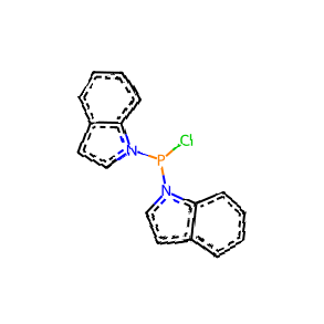 ClP(n1ccc2ccccc21)n1ccc2ccccc21